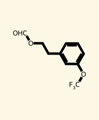 O=COCCc1cccc(OC(F)(F)F)c1